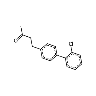 CC(=O)CCc1ccc(-c2ccccc2Cl)cc1